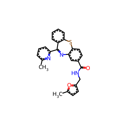 Cc1cccc(C2=Nc3cc(C(=O)NCc4ccc(C)o4)ccc3Sc3ccccc32)n1